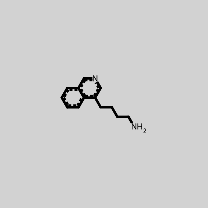 NCCCCc1cncc2ccccc12